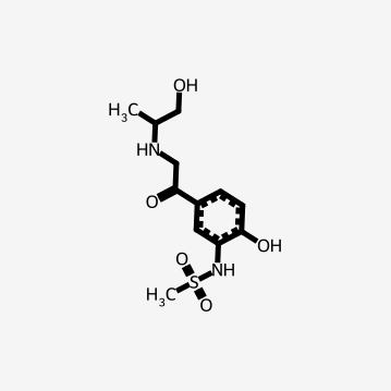 CC(CO)NCC(=O)c1ccc(O)c(NS(C)(=O)=O)c1